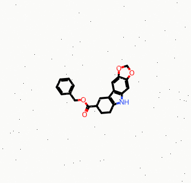 O=C(OCc1ccccc1)C1CCc2[nH]c3cc4c(cc3c2C1)OCO4